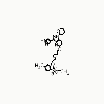 CCOS(=O)(=O)c1ccc(C)cc1OCCOCCOc1ccc2c(n1)c(-c1cn[nH]c1)nn2C1CCCCO1